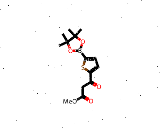 COC(=O)CC(=O)c1ccc(B2OC(C)(C)C(C)(C)O2)s1